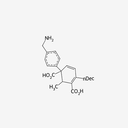 CCCCCCCCCCC1=C(C(=O)O)C(C)C(C(=O)O)(c2ccc(CN)cc2)C=C1